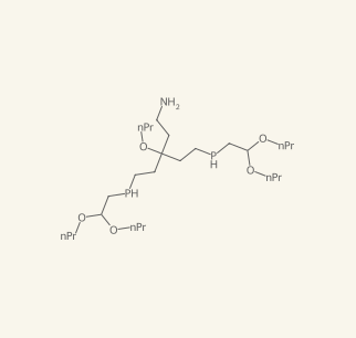 CCCOC(CPCCC(CCN)(CCPCC(OCCC)OCCC)OCCC)OCCC